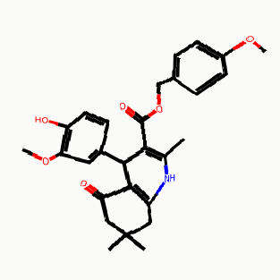 COc1ccc(COC(=O)C2=C(C)NC3=C(C(=O)CC(C)(C)C3)C2c2ccc(O)c(OC)c2)cc1